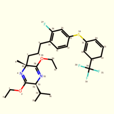 CCOC1=N[C@](C)(CCCc2ccc(SC3=CC(C(F)(F)F)CC=C3)cc2F)C(OCC)=N[C@H]1C(C)C